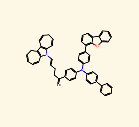 C=C(CC/C=C/n1c2c(c3c1C=CC=CC3)C=CCC=C2)c1ccc(N(c2ccc(-c3ccccc3)cc2)c2ccc(-c3cccc4c3oc3ccccc34)cc2)cc1